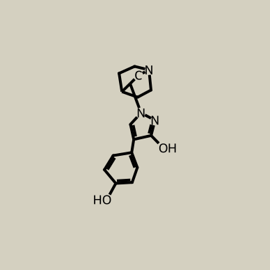 Oc1ccc(-c2cn(C3CN4CCC3CC4)nc2O)cc1